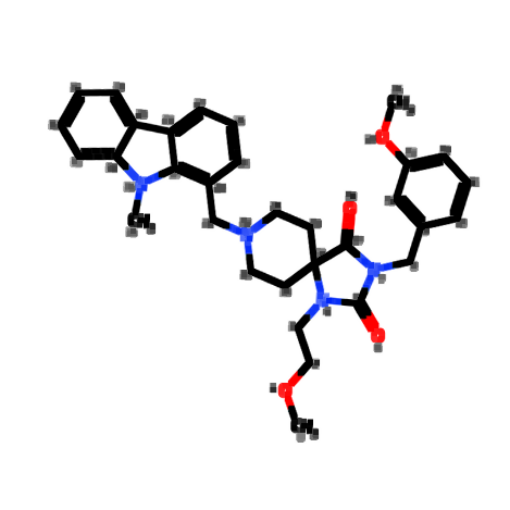 COCCN1C(=O)N(Cc2cccc(OC)c2)C(=O)C12CCN(Cc1cccc3c4ccccc4n(C)c13)CC2